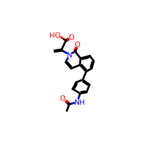 C=C(C(=O)O)n1ccc2c(-c3ccc(NC(C)=O)cc3)cccc2c1=O